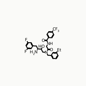 CCc1cccc(CN(CC(O)[C@@H](N)Cc2cc(F)cc(F)c2)C(=O)CNC(=O)c2ccc(C(F)(F)F)cc2)c1